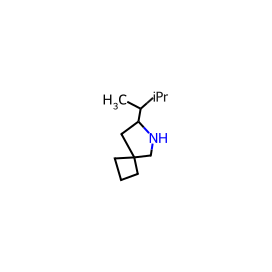 CC(C)C(C)C1CC2(CCC2)CN1